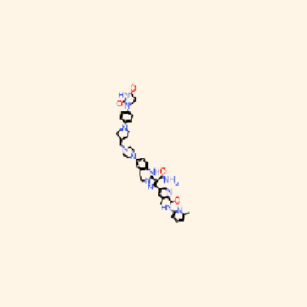 Cc1cccc(NC(=O)c2ncc(-c3nn4c(c3C(N)=O)Nc3ccc(N5CCN(CC6CCN(c7ccc(N8CCC(=O)NC8=O)cc7)CC6)CC5)cc3CC4)cc2C)n1